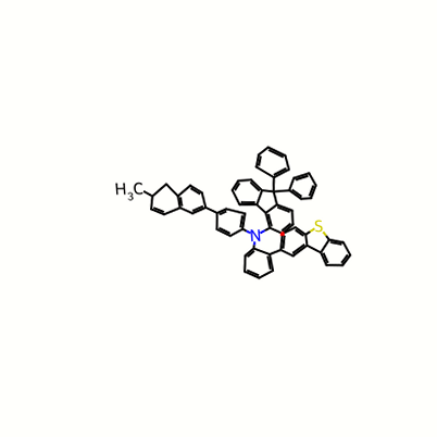 CC1C=Cc2cc(-c3ccc(N(c4ccccc4-c4ccc5sc6ccccc6c5c4)c4cccc5c4-c4ccccc4C5(c4ccccc4)c4ccccc4)cc3)ccc2C1